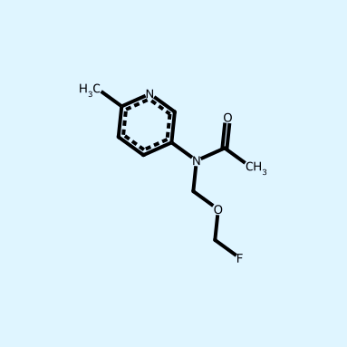 CC(=O)N(COCF)c1ccc(C)nc1